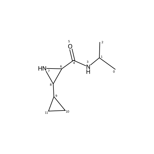 CC(C)NC(=O)C1NC1C1CC1